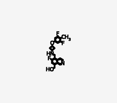 Cc1c(F)cc(O[C@H]2C[C@H](NCc3c(F)cc(CO)c4cnccc34)C2)cc1F